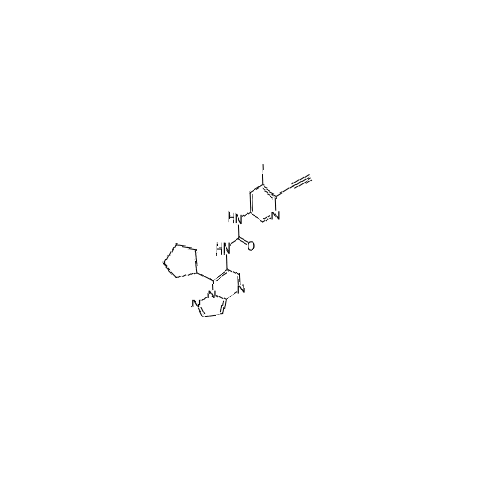 C#Cc1ncc(NC(=O)Nc2cnc3ccnn3c2C2CCCC2)cc1C